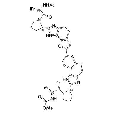 COC(=O)N[C@H](C(=O)N1CCC[C@H]1c1nc2ccc3nc(-c4cc5ccc6nc([C@@H]7CCCN7C(=O)[C@@H](NC(C)=O)C(C)C)[nH]c6c5o4)ccc3c2[nH]1)C(C)C